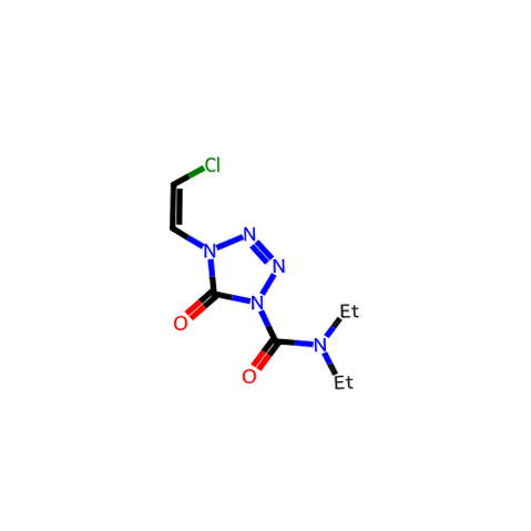 CCN(CC)C(=O)n1nnn(/C=C\Cl)c1=O